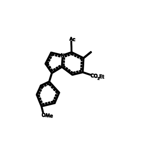 CCOC(=O)c1cc2c(-c3ccc(OC)cc3)ccn2c(C(C)=O)c1C